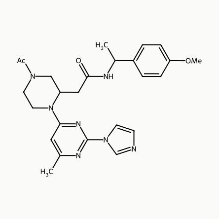 COc1ccc(C(C)NC(=O)CC2CN(C(C)=O)CCN2c2cc(C)nc(-n3ccnc3)n2)cc1